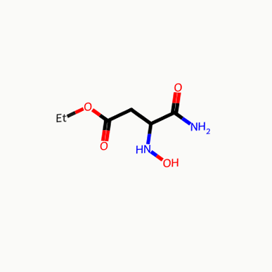 CCOC(=O)CC(NO)C(N)=O